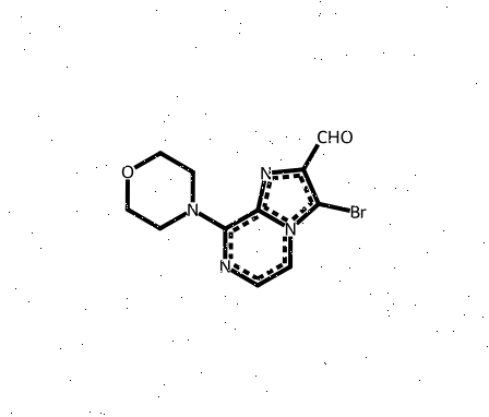 O=Cc1nc2c(N3CCOCC3)nccn2c1Br